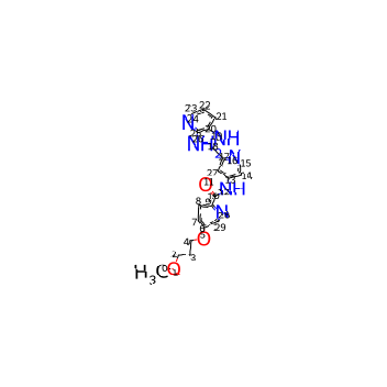 COCCCOc1ccc(C(=O)Nc2ccnc(CNc3cccnc3N)c2)nc1